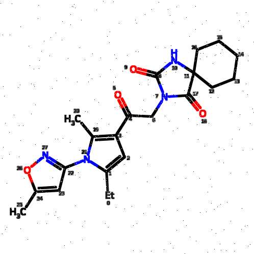 CCc1cc(C(=O)CN2C(=O)NC3(CCCCC3)C2=O)c(C)n1-c1cc(C)on1